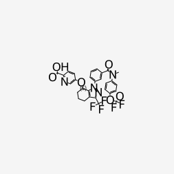 CN(C(=O)c1cccc(-n2nc(C(F)(F)F)c3c2[C@@H](Oc2ccc(C(=O)O)nc2)CCC3)c1)c1ccc2c(c1)OC(F)(F)O2